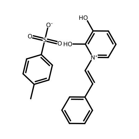 Cc1ccc(S(=O)(=O)[O-])cc1.Oc1ccc[n+](C=Cc2ccccc2)c1O